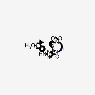 CN1Cc2cc(Nc3ncc4c(=O)n5n(c4n3)-c3ccc4c(n3)N(CC/C=C\C5)C(=O)CO4)ccc2C2(CC2)C1